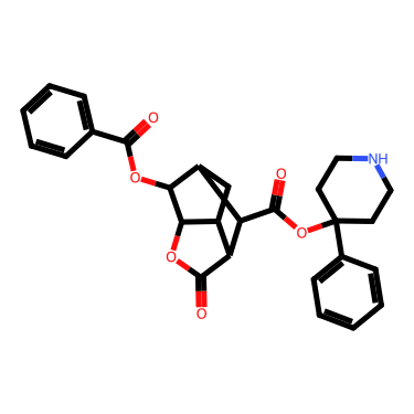 O=C(OC1C2CC3C1OC(=O)C3C2C(=O)OC1(c2ccccc2)CCNCC1)c1ccccc1